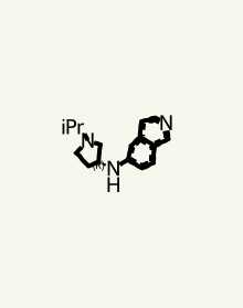 CC(C)N1CC[C@@H](Nc2ccc3cnccc3c2)C1